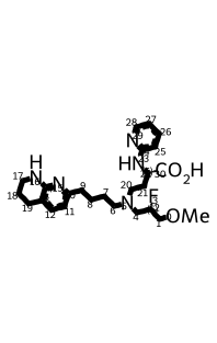 COC[C@@H](F)CN(CCCCc1ccc2c(n1)NCCC2)CC[C@H](Nc1ccccn1)C(=O)O